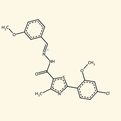 COc1cccc(/C=N/NC(=O)c2sc(-c3ccc(Cl)cc3OC)nc2C)c1